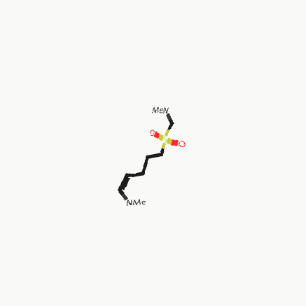 CN/C=C\CCCS(=O)(=O)CNC